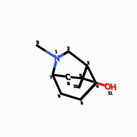 CN1CC2CCCC1CC2(C)O